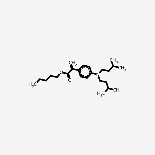 C=C(C(=O)OCCCCC)c1ccc(N(CCC(C)C)CCC(C)C)cc1